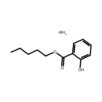 CCCCCOC(=O)c1ccccc1O.[AlH3]